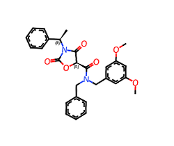 COc1cc(CN(Cc2ccccc2)C(=O)[C@H]2OC(=O)N([C@H](C)c3ccccc3)C2=O)cc(OC)c1